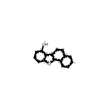 Oc1cccc2oc3c4ccccc4ccc3c12